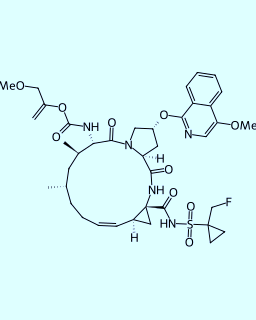 C=C(COC)OC(=O)N[C@@H]1C(=O)N2C[C@H](Oc3ncc(OC)c4ccccc34)C[C@H]2C(=O)N[C@]2(C(=O)NS(=O)(=O)C3(CF)CC3)C[C@H]2/C=C\CC[C@H](C)C[C@H]1C